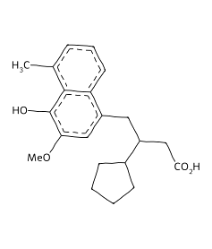 COc1cc(CC(CC(=O)O)C2CCCC2)c2cccc(C)c2c1O